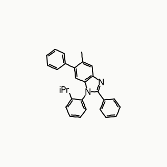 Cc1cc2nc(-c3ccccc3)n(-c3ccccc3C(C)C)c2cc1-c1ccccc1